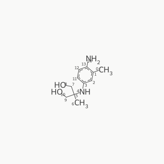 Cc1cc(NC(C)(CO)CO)ccc1N